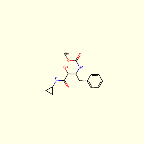 CC(C)(C)OC(=O)NC(Cc1ccccc1)C(O)C(=O)NC1CC1